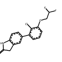 O=C1Cc2cc(-c3cccc(OCC(F)F)c3Cl)ccc2N1